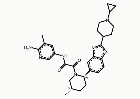 Cc1cc(NC(=O)C(=O)N2C[C@@H](C)CC[C@@H]2c2ccc3sc(C4CCN(C5CC5)CC4)nc3c2)cnc1N